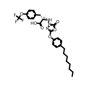 CCCCCCCCc1ccc(Oc2nn(N[C@@H](Cc3ccc(OC(F)(F)F)cc3)C(=O)O)c(=O)o2)cc1